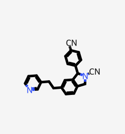 N#Cc1ccc(C2c3cc(CCc4cccnc4)ccc3CN2C#N)cc1